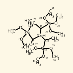 CO[Si](OC)(OC)C(C)[SiH](C(C)[Si](OC)(OC)OC)C(C)[Si](OC)(OC)OC